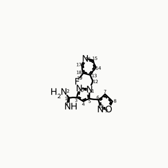 N=C(N)c1cc(-c2ccon2)n(Cc2ccncc2F)n1